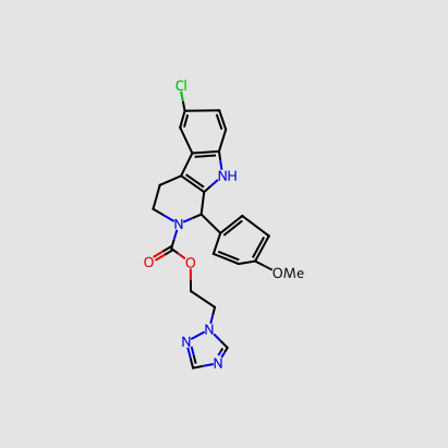 COc1ccc(C2c3[nH]c4ccc(Cl)cc4c3CCN2C(=O)OCCn2cncn2)cc1